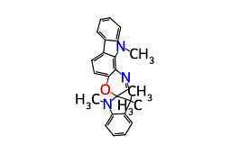 CN1c2ccccc2C(C)(C)C12C=Nc1c(ccc3c4ccccc4n(C)c13)O2